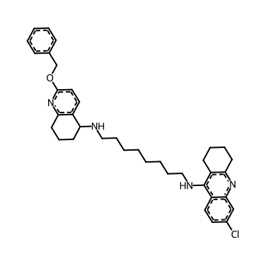 Clc1ccc2c(NCCCCCCCCNC3CCCc4nc(OCc5ccccc5)ccc43)c3c(nc2c1)CCCC3